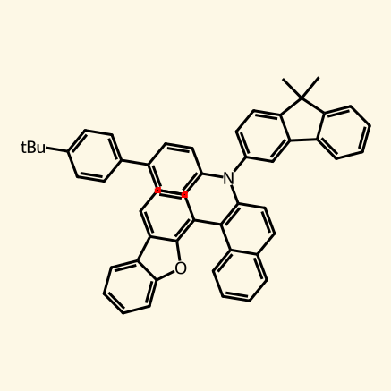 CC(C)(C)c1ccc(-c2ccc(N(c3ccc4c(c3)-c3ccccc3C4(C)C)c3ccc4ccccc4c3-c3cccc4c3oc3ccccc34)cc2)cc1